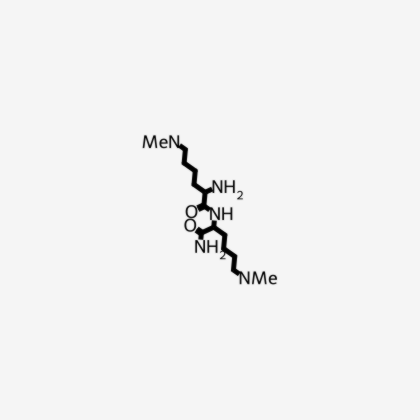 CNCCCCC(N)C(=O)NC(CCCCNC)C(N)=O